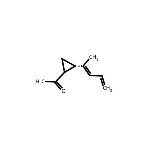 C=C/C=C(\C)[C@H]1CC1C(C)=O